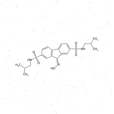 CC(C)CNS(=O)(=O)c1ccc2c(c1)C(=NO)c1cc(S(=O)(=O)NCC(C)C)ccc1-2